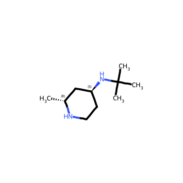 C[C@@H]1C[C@@H](NC(C)(C)C)CCN1